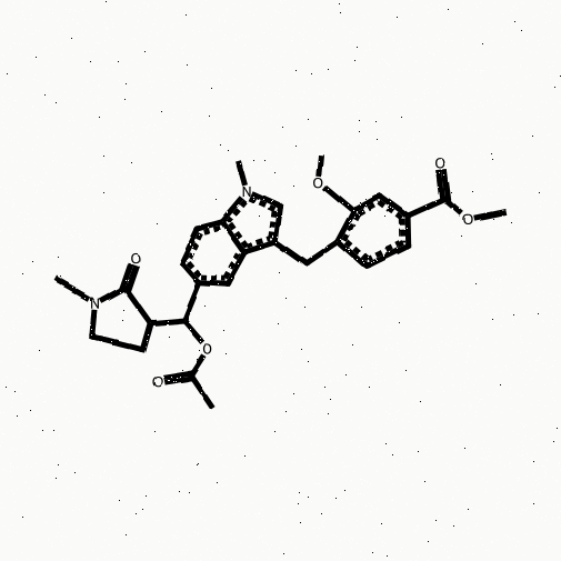 COC(=O)c1ccc(Cc2cn(C)c3ccc(C(OC(C)=O)C4CCN(C)C4=O)cc23)c(OC)c1